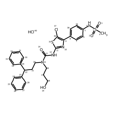 CS(=O)(=O)Nc1ccc(-c2nc(NC(=O)N(CCCO)CCC(c3ccccc3)c3ccccc3)sc2Cl)cc1.Cl